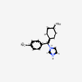 CC(C)(C)C1CCC(=C(c2ccc(C#N)cc2)n2ccnc2)CC1